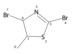 CC1SC(Br)=NC1Br